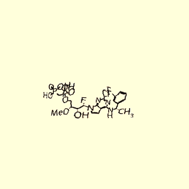 CO[C@H](COP(=O)(O)CP(=O)(O)O)[C@@H](O)[C@H](F)n1ccc2c(N[C@@H](C)c3cccc(F)c3)nc(Cl)nc21